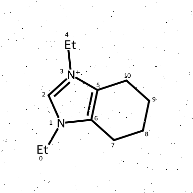 CCn1c[n+](CC)c2c1CCCC2